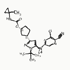 CC1(NC(=O)O[C@@H]2CC[C@H](c3cc(Nc4cnc(C#N)c(Cl)n4)n(C(C)(C)C)n3)C2)CC1